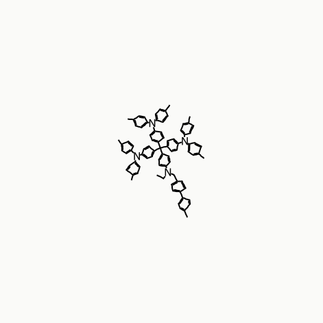 CCN(Cc1ccc(-c2ccc(C)cc2)cc1)c1ccc(C(c2ccc(N(c3ccc(C)cc3)c3ccc(C)cc3)cc2)(c2ccc(N(c3ccc(C)cc3)c3ccc(C)cc3)cc2)c2ccc(N(c3ccc(C)cc3)c3ccc(C)cc3)cc2)cc1